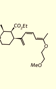 C=C(/C=C\C=C(/C)OCCOC)[C@H]1CCO[C@@H](C)[C@H]1C(=O)OCC